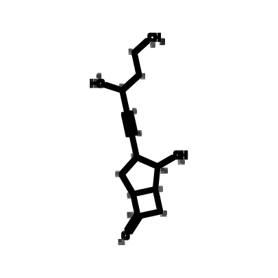 CCCC(O)C#CC1CC2C(=O)CC2C1O